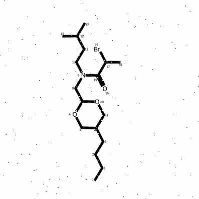 CCCCC1COC(CN(CCC(C)C)C(=O)C(C)Br)OC1